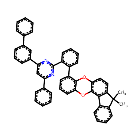 CC1(C)c2ccccc2-c2c1ccc1c2Oc2cccc(-c3ccccc3-c3nc(-c4ccccc4)cc(-c4cccc(-c5ccccc5)c4)n3)c2O1